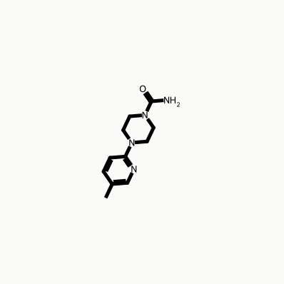 Cc1ccc(N2CCN(C(N)=O)CC2)nc1